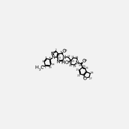 Cc1ccc(-n2ncc3c(=O)n(CC4(O)CCN(C(=O)c5ccc6c(c5)CCO6)CC4)cnc32)cc1